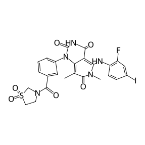 Cc1c(=O)n(C)c(Nc2ccc(I)cc2F)c2c(=O)[nH]c(=O)n(-c3cccc(C(=O)N4CCS(=O)(=O)C4)c3)c12